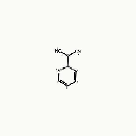 N#CC(C#N)C1C=CC=CS1